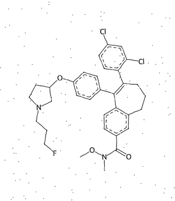 CON(C)C(=O)c1ccc2c(c1)CCCC(c1ccc(Cl)cc1Cl)=C2c1ccc(OC2CCN(CCCF)C2)cc1